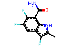 Cc1[nH]c2c(C(N)=O)c(F)c(F)cc2c1F